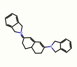 C1=C2C=C(N3Cc4ccccc4C3)CCC2CCC1=[N+]1Cc2ccccc2C1